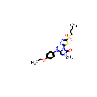 CCCCS(=O)(=O)c1nnc(N2C(=O)N(C)CC2Nc2ccc(OCC)cc2)s1